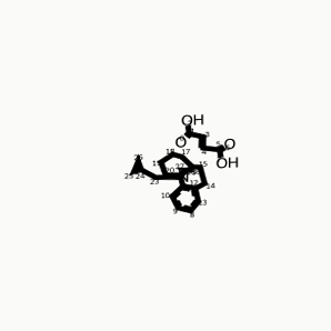 O=C(O)/C=C/C(=O)O.c1ccc2c(c1)CCC13CCCCC21N(CC1CC1)CC3